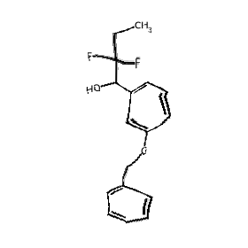 CCC(F)(F)C(O)c1cccc(OCc2ccccc2)c1